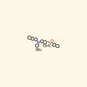 CC(C)(C)c1ccc(N(c2ccc3cc(C=CC(=O)c4cc5ccccc5cc4C=O)ccc3c2)c2ccc3cc4ccccc4cc3c2)cc1